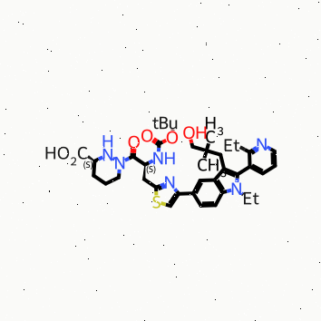 CCc1ncccc1-c1c(CC(C)(C)CO)c2cc(-c3csc(C[C@H](NC(=O)OC(C)(C)C)C(=O)N4CCC[C@@H](C(=O)O)N4)n3)ccc2n1CC